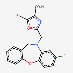 CCc1oc(CN2Cc3ccccc3Oc3ccc(Cl)cc32)nc1C(=O)O